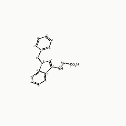 O=C(O)NNc1cn(Cc2ccccc2)c2ccccc12